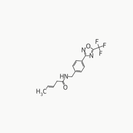 CC=CCC(=O)NCc1ccc(-c2noc(C(F)(F)F)n2)cc1